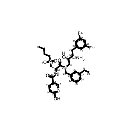 CCCCS(=O)(=O)C[C@@H](NC(=O)c1ccc(O)nc1)C(=O)N(Cc1cccc(CC)c1)C[C@@H](O)[C@@H](N)Cc1cc(F)cc(F)c1